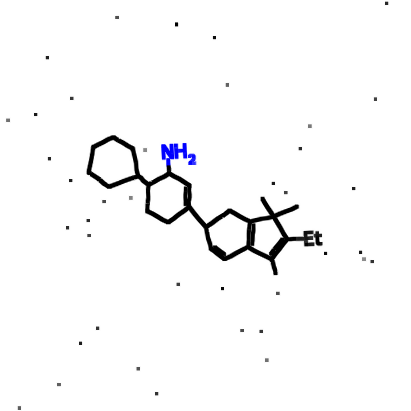 CCC1=C(C)C2=C(CC(C3=CC(N)C(C4CCCCC4)CC3)C=C2)C1(C)C